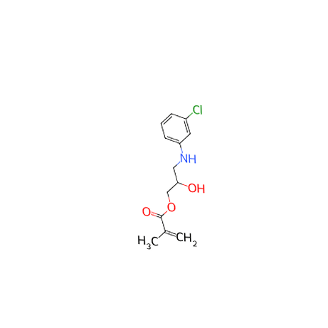 C=C(C)C(=O)OCC(O)CNc1cccc(Cl)c1